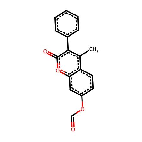 Cc1c(-c2ccccc2)c(=O)oc2cc(OC=O)ccc12